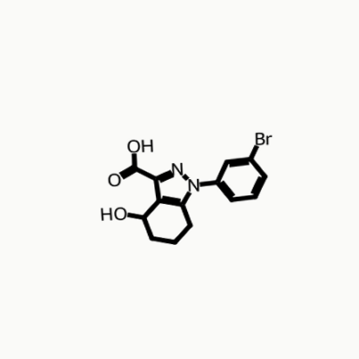 O=C(O)c1nn(-c2cccc(Br)c2)c2c1C(O)CCC2